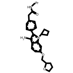 CC(C)NC(=O)Cc1ccc(-c2c(N)c3ccc(OCC4CCCO4)cc3n2C2CCC2)cc1